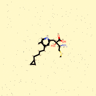 CSC[C@H](N)[C@](O)(Cc1cc(CCCCC2CC2)c(C)cn1)C(=O)O